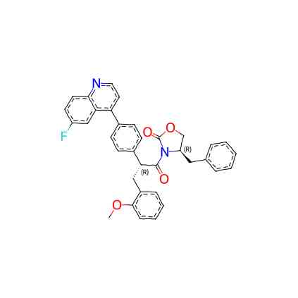 COc1ccccc1C[C@@H](C(=O)N1C(=O)OC[C@H]1Cc1ccccc1)c1ccc(-c2ccnc3ccc(F)cc23)cc1